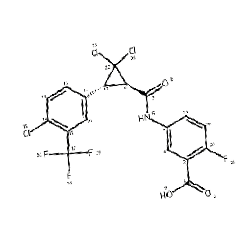 O=C(O)c1cc(NC(=O)[C@H]2[C@H](c3ccc(Cl)c(C(F)(F)F)c3)C2(Cl)Cl)ccc1F